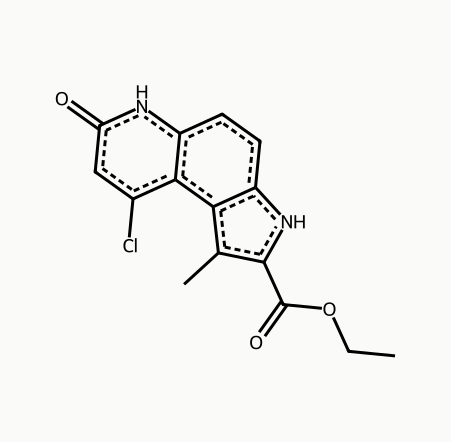 CCOC(=O)c1[nH]c2ccc3[nH]c(=O)cc(Cl)c3c2c1C